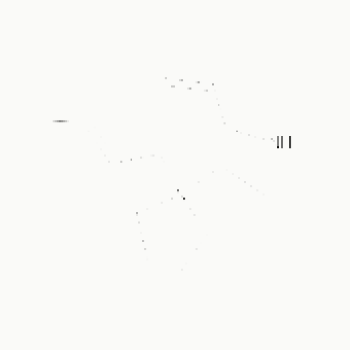 C/C=C/C[N+](CC)(CC)CC.C=CCN